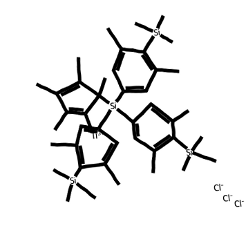 CC1=C(C)C(C)([Si](c2cc(C)c([Si](C)(C)C)c(C)c2)(c2cc(C)c([Si](C)(C)C)c(C)c2)c2cc(C)c([Si](C)(C)C)c(C)c2)[C]([Ti+3])=C1C.[Cl-].[Cl-].[Cl-]